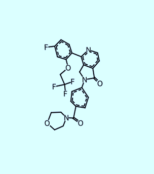 O=C(c1ccc(N2Cc3c(ccnc3-c3ccc(F)cc3OCC(F)(F)F)C2=O)cc1)N1CCOCC1